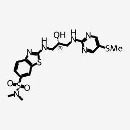 CSc1cnc(NC[C@@H](O)CNc2nc3ccc(S(=O)(=O)N(C)C)cc3s2)nc1